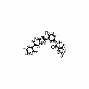 Cc1nc(C)c(C(=O)Nc2ccc(F)c(-c3nc4ncc(-c5cccnc5F)cn4n3)c2)o1